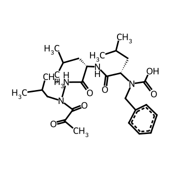 CC(=O)C(=O)N(CC(C)C)NC(=O)[C@H](CC(C)C)NC(=O)[C@H](CC(C)C)N(Cc1ccccc1)C(=O)O